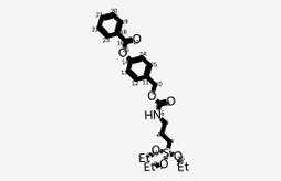 CCO[Si](CCCNC(=O)OCc1ccc(OC(=O)c2ccccc2)cc1)(OCC)OCC